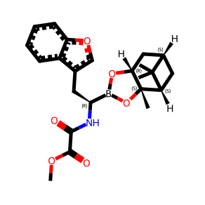 COC(=O)C(=O)N[C@@H](Cc1coc2ccccc12)B1O[C@@H]2C[C@@H]3C[C@@H](C3(C)C)[C@]2(C)O1